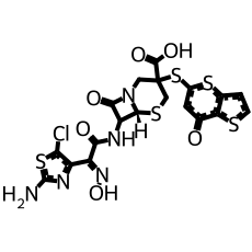 Nc1nc(C(=NO)C(=O)NC2C(=O)N3CC(Sc4cc(=O)c5sccc5s4)(C(=O)O)CS[C@H]23)c(Cl)s1